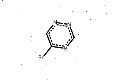 Brc1cnncn1